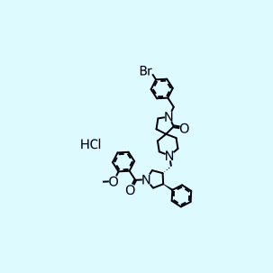 COc1ccccc1C(=O)N1C[C@H](CN2CCC3(CC2)CCN(Cc2ccc(Br)cc2)C3=O)[C@@H](c2ccccc2)C1.Cl